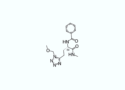 CNC(=O)[C@H](CCc1nnnn1COC)NC(=O)c1ccccc1